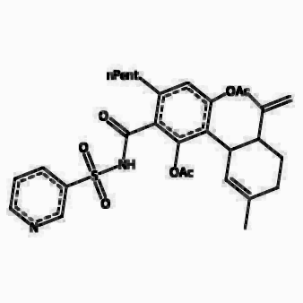 C=C(C)C1CCC(C)=CC1c1c(OC(C)=O)cc(CCCCC)c(C(=O)NS(=O)(=O)c2cccnc2)c1OC(C)=O